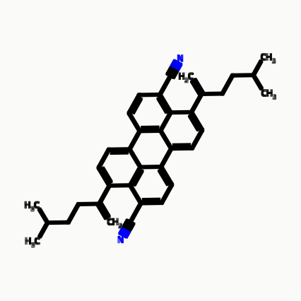 C=C(CCC(C)C)c1ccc2c3ccc(C#N)c4c(C(=C)CCC(C)C)ccc(c5ccc(C#N)c1c52)c43